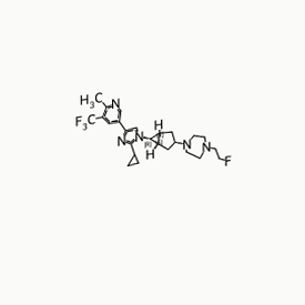 Cc1ncc(-c2cn([C@H]3[C@@H]4CC(N5CCN(CCF)CC5)C[C@@H]43)c(C3CC3)n2)cc1C(F)(F)F